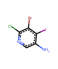 Nc1cnc(Cl)c(Br)c1I